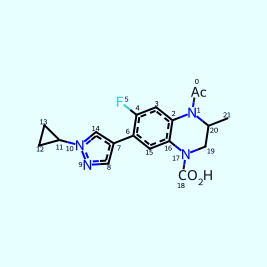 CC(=O)N1c2cc(F)c(-c3cnn(C4CC4)c3)cc2N(C(=O)O)CC1C